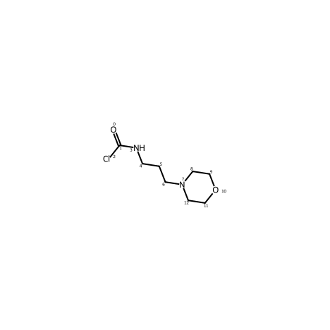 O=C(Cl)NCCCN1CCOCC1